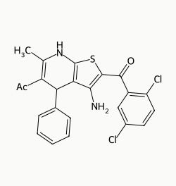 CC(=O)C1=C(C)Nc2sc(C(=O)c3cc(Cl)ccc3Cl)c(N)c2C1c1ccccc1